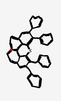 c1ccc(-c2cc3ccccc3c(Sc3c(-c4ccccc4)c(-c4ccccc4)cc4ccccc34)c2-c2ccccc2)cc1